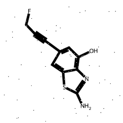 Nc1nc2c(O)cc(C#CCF)cc2s1